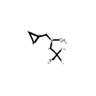 CN(CC1CC1)CC(F)(F)F